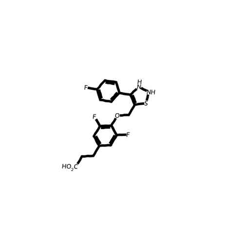 O=C(O)CCc1cc(F)c(OCC2=C(c3ccc(F)cc3)NNS2)c(F)c1